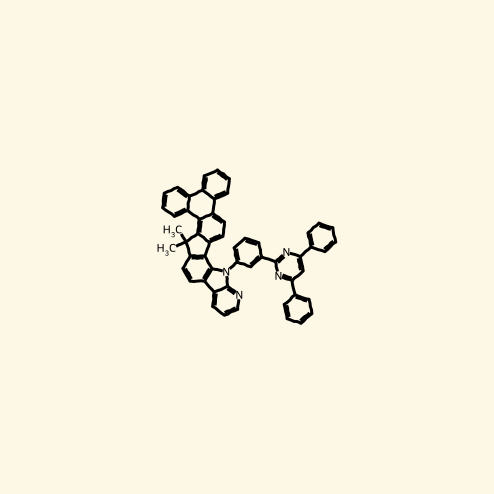 CC1(C)c2ccc3c4cccnc4n(-c4cccc(-c5nc(-c6ccccc6)cc(-c6ccccc6)n5)c4)c3c2-c2ccc3c4ccccc4c4ccccc4c3c21